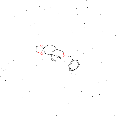 CC1(C)CC2(CCC1COCc1ccccc1)OCCO2